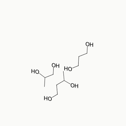 CC(O)CCO.CC(O)CO.OCCCO